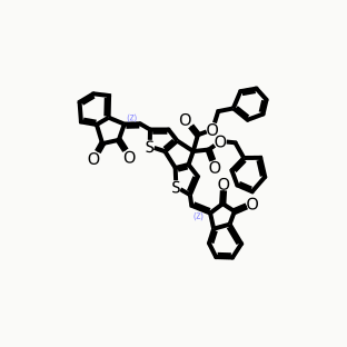 O=C1C(=O)c2ccccc2/C1=C/c1cc2c(s1)-c1sc(/C=C3\C(=O)C(=O)c4ccccc43)cc1C2(C(=O)OCc1ccccc1)C(=O)OCc1ccccc1